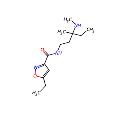 CCc1cc(C(=O)NCCC(C)(CC)NC)no1